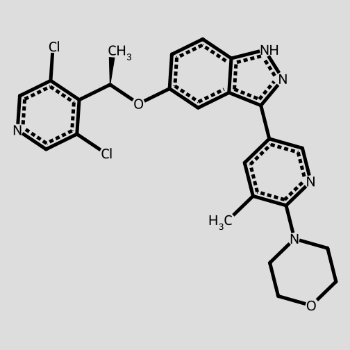 Cc1cc(-c2n[nH]c3ccc(O[C@H](C)c4c(Cl)cncc4Cl)cc23)cnc1N1CCOCC1